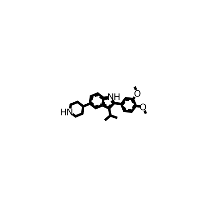 COc1ccc(-c2[nH]c3ccc(C4CCNCC4)cc3c2C(C)C)cc1OC